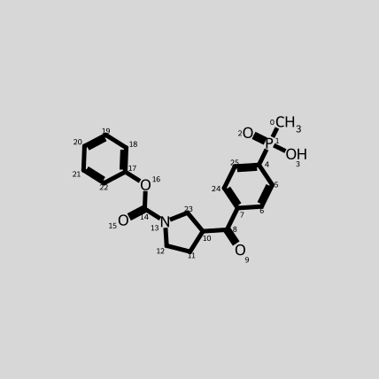 CP(=O)(O)c1ccc(C(=O)C2CCN(C(=O)Oc3ccccc3)C2)cc1